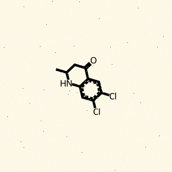 CC1CC(=O)c2cc(Cl)c(Cl)cc2N1